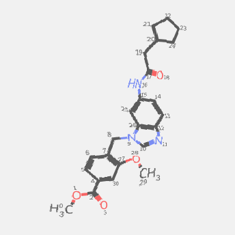 COC(=O)c1ccc(Cn2cnc3ccc(NC(=O)CC4CCCC4)cc32)c(OC)c1